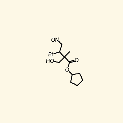 CCC(CN=O)C(C)(CO)C(=O)OC1CCCC1